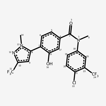 CN(C(=O)c1ccc(-c2cc(C(F)(F)F)nn2C)c(O)c1)c1ccc(Cl)c(C(F)(F)F)c1